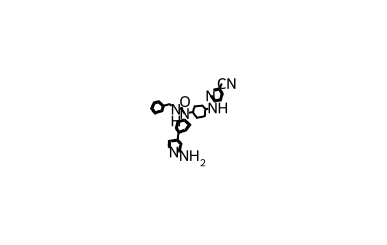 N#Cc1ccc(NC2CCC(N(C(=O)NCc3ccccc3)c3ccc(-c4ccnc(N)c4)cc3)CC2)nc1